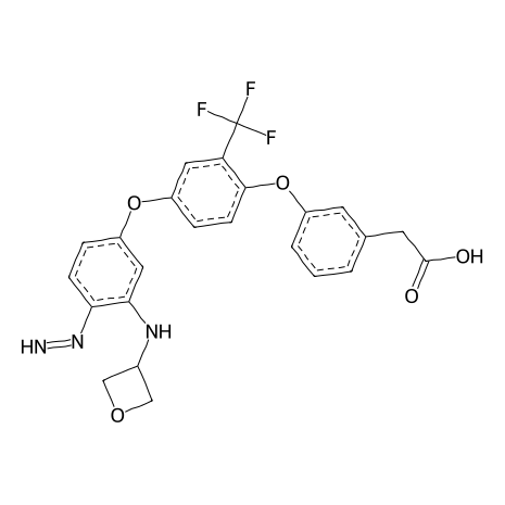 N=Nc1ccc(Oc2ccc(Oc3cccc(CC(=O)O)c3)c(C(F)(F)F)c2)cc1NC1COC1